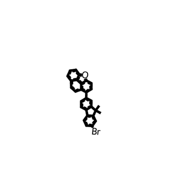 CC1(C)c2cc(Br)ccc2-c2ccc(-c3ccc4oc5cccc6ccc3c4c65)cc21